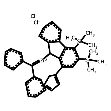 C[Si](C)(C)c1cc(C2=CC=CC2)c2c(c1[Si](C)(C)C)-c1ccccc1[CH]2[Zr+2]=[C](c1ccccc1)c1ccccc1.[Cl-].[Cl-]